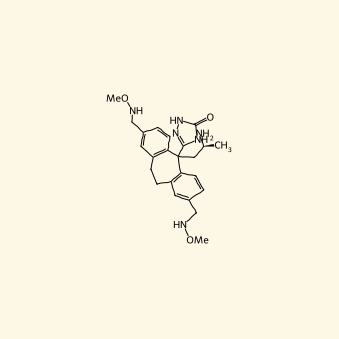 CONCc1ccc2c(c1)CCc1cc(CNOC)ccc1C2(C[C@H](C)N)c1n[nH]c(=O)[nH]1